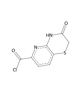 O=C1CSc2ccc(C(=O)Cl)nc2N1